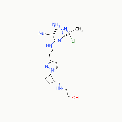 Cc1nn2c(N)c(C#N)c(NCCc3ccn(C4CCC4CNCCO)n3)nc2c1Cl